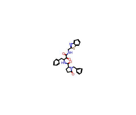 O=C(NCc1nc2ccccc2s1)C(=O)C(Cc1ccccc1)NC(=O)C1CCC(=O)N1Cc1ccccc1